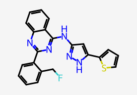 FCc1ccccc1-c1nc(Nc2cc(-c3cccs3)[nH]n2)c2ccccc2n1